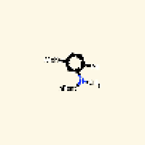 CCCCCN(C)c1cc(NC)ccc1C(C)=O